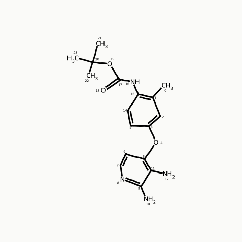 Cc1cc(Oc2ccnc(N)c2N)ccc1NC(=O)OC(C)(C)C